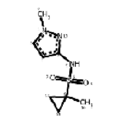 Cn1ccc(NS(=O)(=O)C2(C)CC2)n1